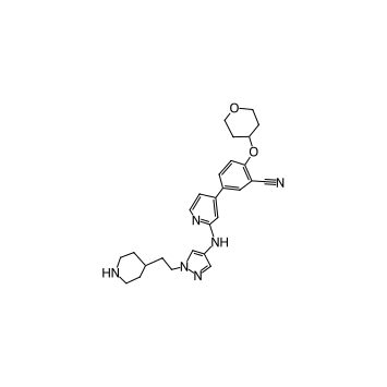 N#Cc1cc(-c2ccnc(Nc3cnn(CCC4CCNCC4)c3)c2)ccc1OC1CCOCC1